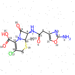 Nc1nc(CC(=O)N[C@@H]2C(=O)N3C(C(=O)O)=C(Cl)CS[C@H]23)co1